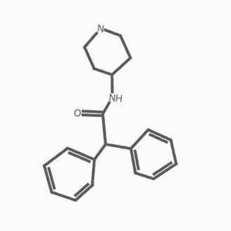 O=C(NC1CC[N]CC1)C(c1ccccc1)c1ccccc1